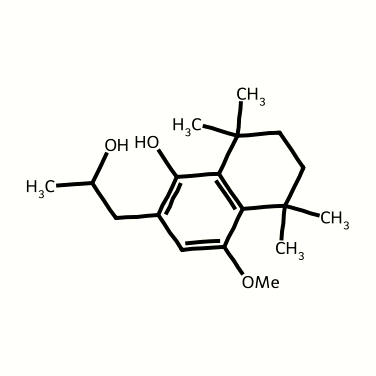 COc1cc(CC(C)O)c(O)c2c1C(C)(C)CCC2(C)C